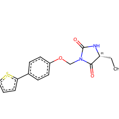 CC[C@H]1NC(=O)N(COc2ccc(-c3cccs3)cc2)C1=O